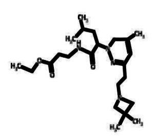 CCOC(=O)CCNC(=O)C(CC(C)C)N1CC(C)=CC(CCN2CC(C)(C)C2)=N1